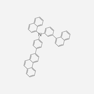 c1cc(-c2cccc3ccccc23)cc(N(c2ccc(-c3ccc4c(ccc5ccccc54)c3)cc2)c2cccc3ccccc23)c1